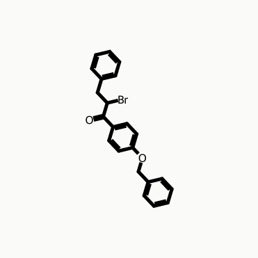 O=C(c1ccc(OCc2ccccc2)cc1)C(Br)Cc1ccccc1